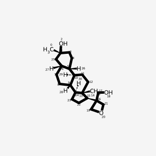 C[C@@]1(O)CC[C@H]2[C@H](CC[C@@H]3[C@@H]2CC[C@]2(C)[C@@H](C4(CO)COC4)CC[C@@H]32)C1